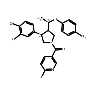 C[C@@H](Oc1ccc(C(F)(F)F)cc1)C1CN(C(=O)c2ccc(F)nc2)C[C@H]1c1ccc(Cl)c(Cl)c1